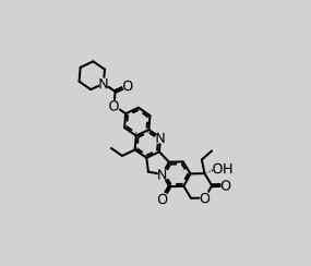 CCc1c2c(nc3ccc(OC(=O)N4CCCCC4)cc13)-c1cc3c(c(=O)n1C2)COC(=O)[C@]3(O)CC